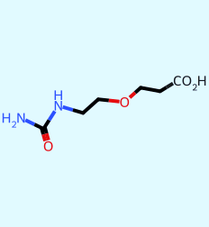 NC(=O)NCCOCCC(=O)O